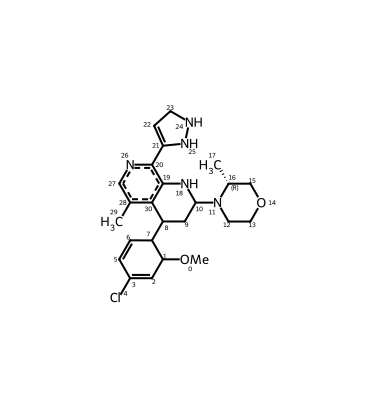 COC1C=C(Cl)C=CC1C1CC(N2CCOC[C@H]2C)Nc2c(C3=CCNN3)ncc(C)c21